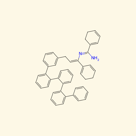 N/C(=N\C(=C/Cc1cccc(-c2ccccc2-c2ccccc2-c2ccccc2-c2ccccc2)c1)C1=CCCC=C1)C1=CC=CCC1